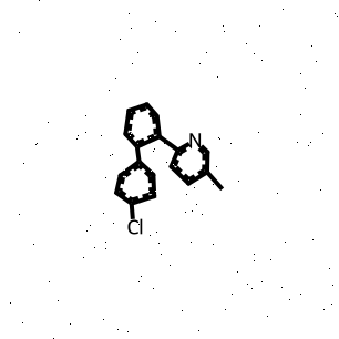 Cc1ccc(-c2ccccc2-c2ccc(Cl)cc2)nc1